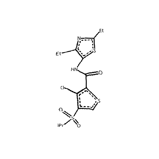 CCc1nc(CC)c(NC(=O)c2scc(S(=O)(=O)C(C)C)c2Cl)s1